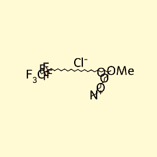 COC(COCCCCCCCCCCCCCCCC(F)(F)C(F)(F)C(F)(F)F)COCCOCC[N+](C)(C)C.[Cl-]